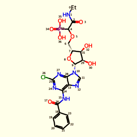 CCNC(=O)C(OC[C@H]1O[C@@H](n2cnc3c(NC(=O)c4ccccc4)nc(Cl)nc32)[C@H](O)[C@@H]1O)P(=O)(O)O